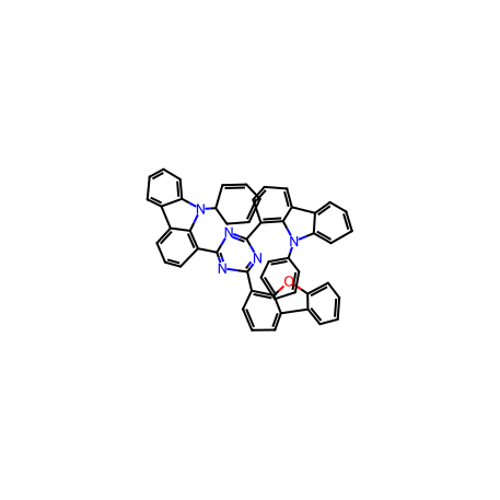 C1=CCC(n2c3ccccc3c3cccc(-c4nc(-c5cccc6c5oc5ccccc56)nc(-c5cccc6c7ccccc7n(-c7ccccc7)c56)n4)c32)C=C1